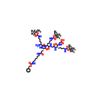 CC(C)(C)OC(=O)NCCCC[C@H](NC(=O)CNC(=O)[C@H](CCCCNC(=O)OC(C)(C)C)NC(=O)[C@H](CCC(=O)NCCCCCCNC(=O)OCc1ccccc1)NC(=O)[C@@H](N)CCCCNC(=O)OC(C)(C)C)C(=O)NCC(=O)O